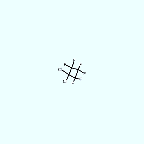 FC1(F)C(F)(F)C(Cl)(Cl)C1(F)F